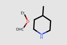 CC1CCNCC1.CCOC=O